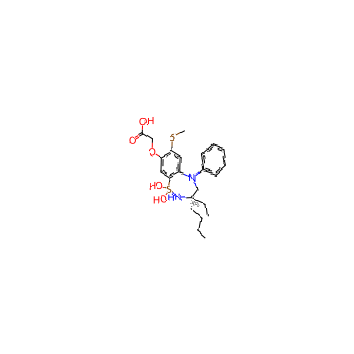 CCCC[C@@]1(CC)CN(c2ccccc2)c2cc(SC)c(OCC(=O)O)cc2S(O)(O)N1